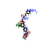 Nc1ccc(/C=C/C(=O)NCc2cc3cc(-c4ccc(C(=O)N5CC6CCC(C5)O6)cn4)cc(C(F)(F)F)c3o2)cn1